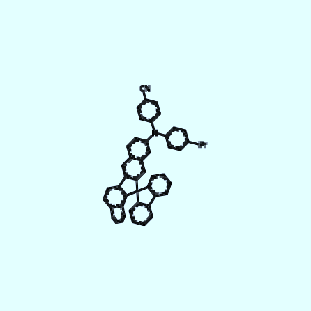 CC(C)c1ccc(N(c2ccc(C#N)cc2)c2ccc3cc4c(cc3c2)C2(c3ccccc3-c3ccccc32)c2c-4ccc3ccccc23)cc1